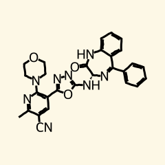 Cc1nc(N2CCOCC2)c(-c2nnc(N[C@H]3N=C(c4ccccc4)c4ccccc4NC3=O)o2)cc1C#N